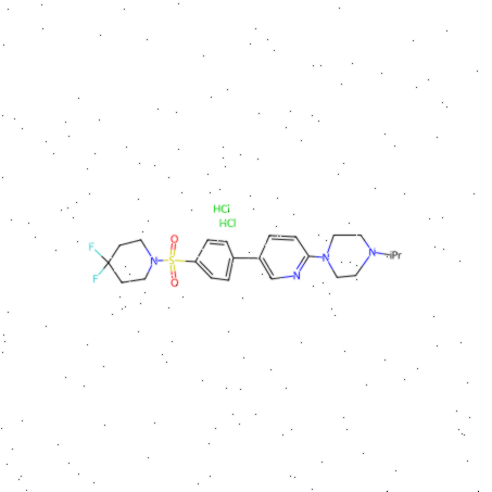 CC(C)N1CCN(c2ccc(-c3ccc(S(=O)(=O)N4CCC(F)(F)CC4)cc3)cn2)CC1.Cl.Cl